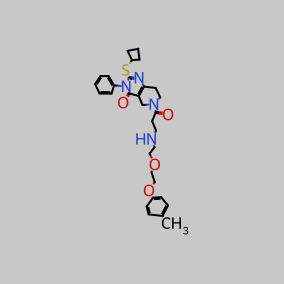 Cc1ccc(OCCOCCNCCC(=O)N2CCc3nc(SC4CCC4)n(-c4ccccc4)c(=O)c3C2)cc1